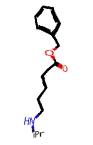 CC(C)NCCCCC(=O)OCc1ccccc1